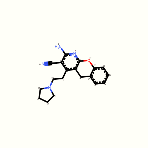 N#Cc1c(N)nc2c(c1CCN1CCCC1)Cc1ccccc1O2